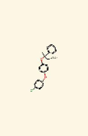 CC(=O)OCC(C)(Oc1ccc(Oc2ccc(Cl)cc2)cc1)c1ccccc1